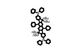 CCCCC1(CCCC)c2cc(N(c3ccccc3)c3ccccc3)ccc2-c2c1cc1c(-c3ccccc3)c3c(cc1c2-c1ccccc1)C(CCCC)(CCCC)c1cc(N(c2ccccc2)c2ccccc2)ccc1-3